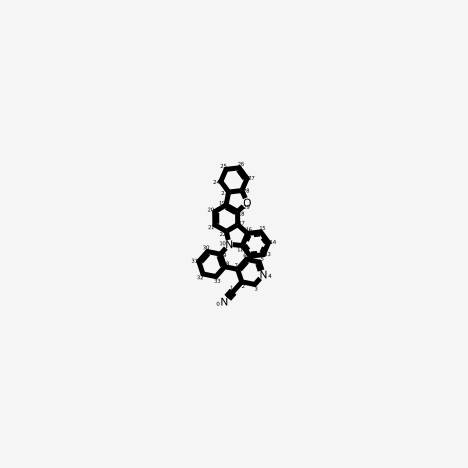 N#CC1CN=CC=C1C1=C(N2c3ccccc3C3C4=C(C=CC32)C2CCC=CC2O4)C=CCC1